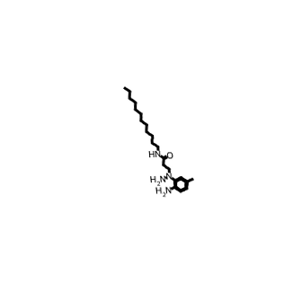 CCCCCCCCCCCCNC(=O)CCN(N)c1cc(C)ccc1N